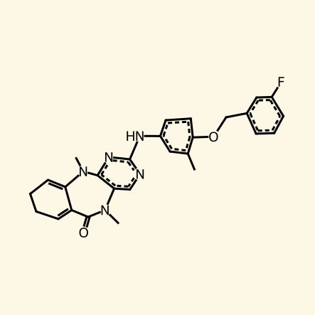 Cc1cc(Nc2ncc3c(n2)N(C)C2=CCCC=C2C(=O)N3C)ccc1OCc1cccc(F)c1